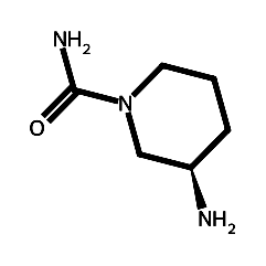 NC(=O)N1CCC[C@@H](N)C1